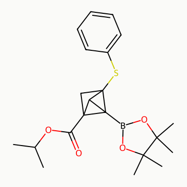 CC(C)OC(=O)C12CC(Sc3ccccc3)(C1)C2B1OC(C)(C)C(C)(C)O1